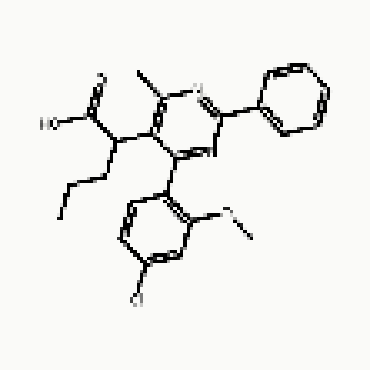 CCCC(C(=O)O)c1c(C)nc(-c2ccccc2)nc1-c1ccc(Cl)cc1OC